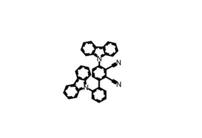 N#Cc1c(-c2ccccc2-n2c3ccccc3c3ccccc32)ccc(-n2c3ccccc3c3ccccc32)c1C#N